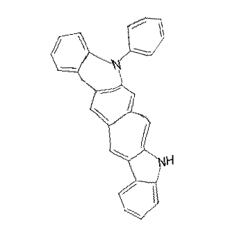 c1ccc(-n2c3ccccc3c3cc4cc5c(cc4cc32)[nH]c2ccccc25)cc1